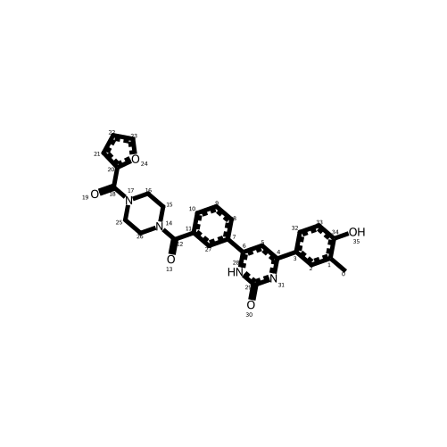 Cc1cc(-c2cc(-c3cccc(C(=O)N4CCN(C(=O)c5ccco5)CC4)c3)[nH]c(=O)n2)ccc1O